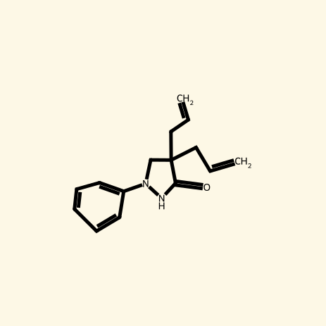 C=CCC1(CC=C)CN(c2ccccc2)NC1=O